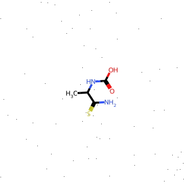 CC(NC(=O)O)C(N)=S